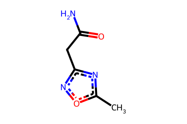 Cc1nc(CC(N)=O)no1